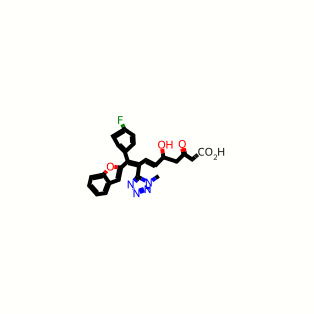 Cn1nnnc1C(C=CC(O)CC(=O)CC(=O)O)=C(c1ccc(F)cc1)c1cc2ccccc2o1